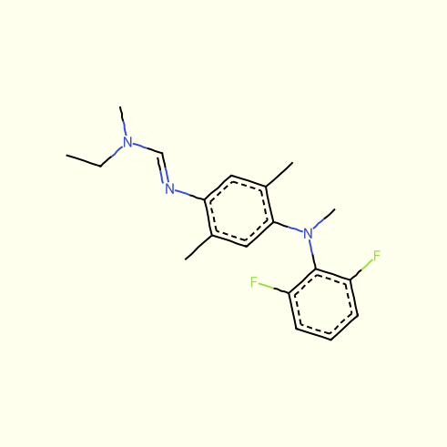 CCN(C)C=Nc1cc(C)c(N(C)c2c(F)cccc2F)cc1C